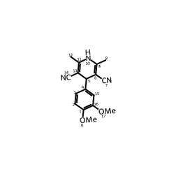 COc1ccc(C2C(C#N)=C(C)NC(C)=C2C#N)cc1OC